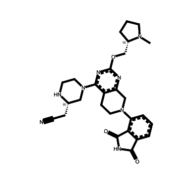 CN1CCC[C@H]1COc1nc2c(c(N3CCN[C@@H](CC#N)C3)n1)CCN(c1cccc3c1C(=O)NC3=O)C2